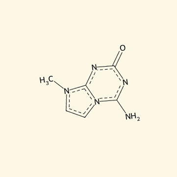 Cn1ccn2c(N)nc(=O)nc12